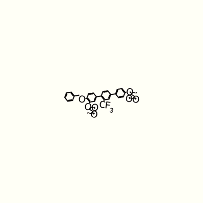 CS(=O)(=O)Oc1ccc(-c2ccc(-c3ccc(OCc4ccccc4)c(OS(C)(=O)=O)c3)c(C(F)(F)F)c2)cc1